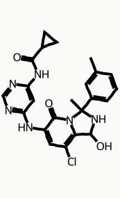 Cc1cccc(C2(C)NC(O)c3c(Cl)cc(Nc4cc(NC(=O)C5CC5)ncn4)c(=O)n32)c1